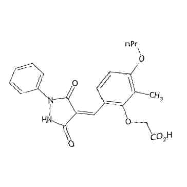 CCCOc1ccc(C=C2C(=O)NN(c3ccccc3)C2=O)c(OCC(=O)O)c1C